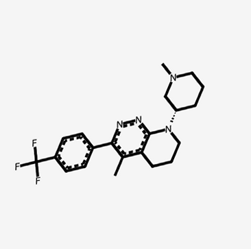 Cc1c(-c2ccc(C(F)(F)F)cc2)nnc2c1CCCN2[C@H]1CCCN(C)C1